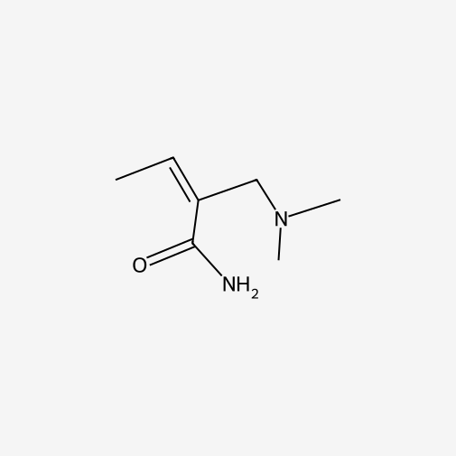 CC=C(CN(C)C)C(N)=O